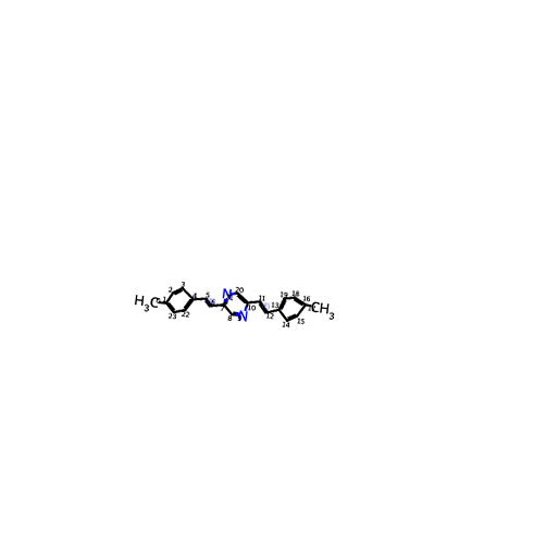 Cc1ccc(/C=C/c2cnc(/C=C/c3ccc(C)cc3)cn2)cc1